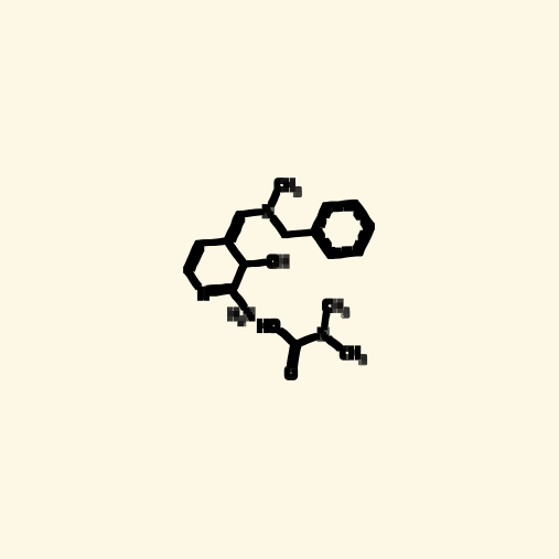 CN(C)C(=O)O.CN(C=C1C=CN=C(N)C1O)Cc1ccccc1